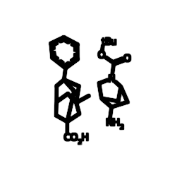 CC(C)(C)OC(=O)N1CC2CC1CC2N.CC12CC3CC(C(=O)O)(C1)CC(c1ccccc1)(C3)C2